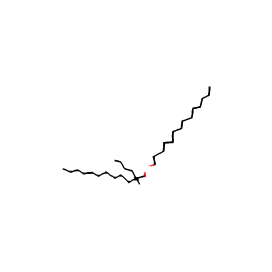 CCCCCCCCCCCCCCOC(=O)C(C)(CCCC)CCCCCCCCCC